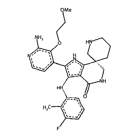 COCCOc1c(-c2[nH]c3c(c2Nc2cccc(F)c2C)C(=O)NC[C@]32CCCNC2)ccnc1N